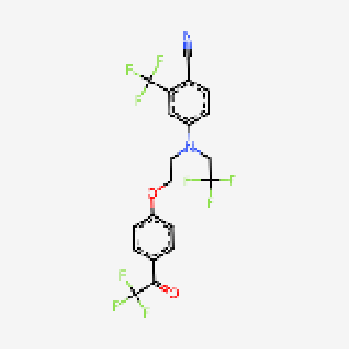 N#Cc1ccc(N(CCOc2ccc(C(=O)C(F)(F)F)cc2)CC(F)(F)F)cc1C(F)(F)F